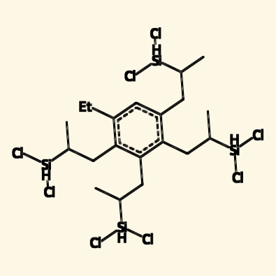 CCc1cc(CC(C)[SiH](Cl)Cl)c(CC(C)[SiH](Cl)Cl)c(CC(C)[SiH](Cl)Cl)c1CC(C)[SiH](Cl)Cl